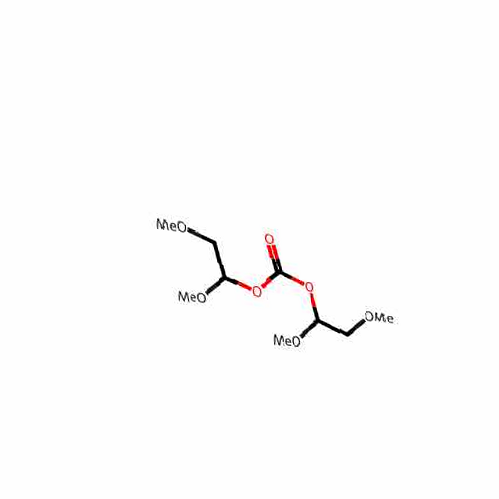 COCC(OC)OC(=O)OC(COC)OC